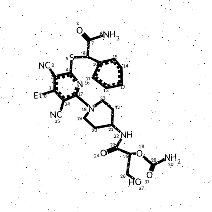 CCc1c(C#N)c(SC(C(N)=O)c2ccccc2)nc(N2CCC(NC(=O)C(CO)OC(N)=O)CC2)c1C#N